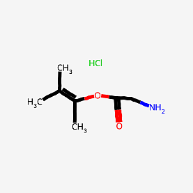 CC(C)=C(C)OC(=O)CN.Cl